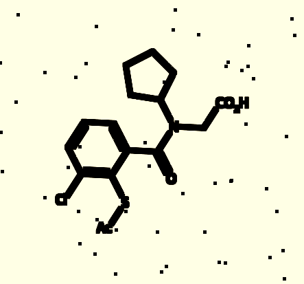 CC(=O)Sc1c(Cl)cccc1C(=O)N(CC(=O)O)C1CCCC1